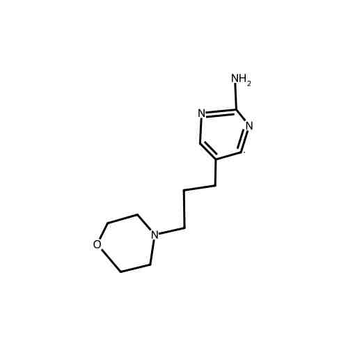 Nc1n[c]c(CCCN2CCOCC2)cn1